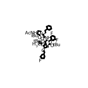 CC[C@@H](C)[C@@]1(NC(C)=O)CCN([C@@H](CCc2ccccc2)C(=O)N[C@@H](Cc2cc(F)cc(F)c2)[C@H](O[Si](C)(C)C(C)(C)C)C2CC(OCc3ccc(F)cc3)CN2C(=O)OC(C)(C)C)C1=O